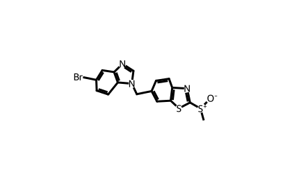 C[S+]([O-])c1nc2ccc(Cn3cnc4cc(Br)ccc43)cc2s1